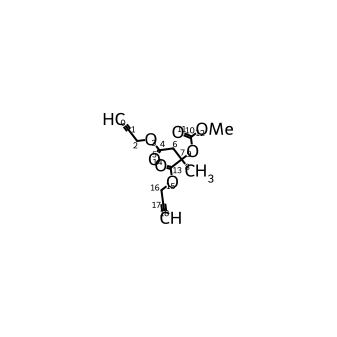 C#CCOC(=O)CC(C)(OC(=O)OC)C(=O)OCC#C